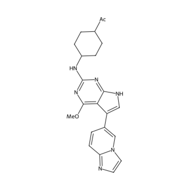 COc1nc(NC2CCC(C(C)=O)CC2)nc2[nH]cc(-c3ccc4nccn4c3)c12